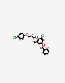 Clc1ccc(OCCCOc2c(Cl)cc(OCc3ccccc3)cc2Cl)cc1